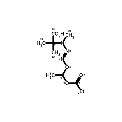 CCC(=O)OC(C)ON=NN(C)C(C)(C)C(=O)O